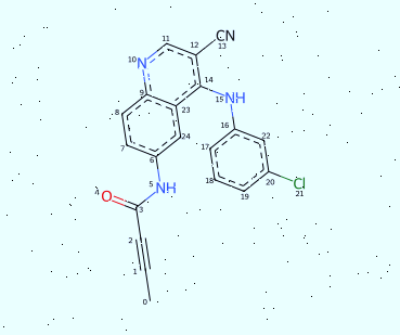 CC#CC(=O)Nc1ccc2ncc(C#N)c(Nc3cccc(Cl)c3)c2c1